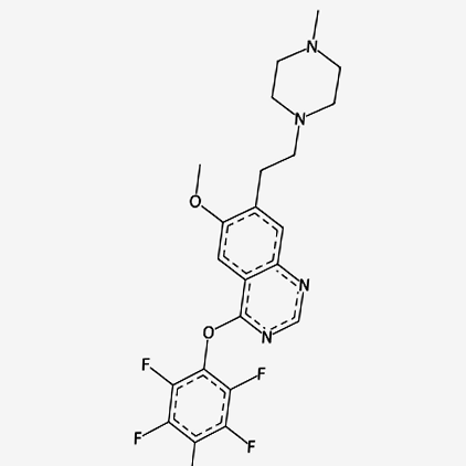 COc1cc2c(Oc3c(F)c(F)c(F)c(F)c3F)ncnc2cc1CCN1CCN(C)CC1